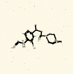 CC(CC(=O)N1CCN(C)CC1)c1ccc(NC=O)c(F)c1